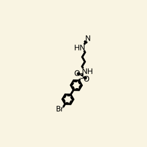 N#CNCCCCNS(=O)(=O)c1ccc(-c2ccc(Br)cc2)cc1